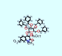 CCCCCCCCOc1c(O[C@@H]2O[C@H](COCc3ccccc3)[C@H](OCc3ccccc3)[C@H](OCc3ccccc3)[C@H]2OCc2ccccc2)c2ccc([N+](=O)[O-])cc2n(C)c1=O